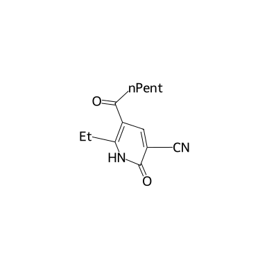 CCCCCC(=O)c1cc(C#N)c(=O)[nH]c1CC